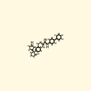 C[C@H]1CCC[N+]1(c1ccc2c(c1)CCN(C(=O)Nc1ccc(-c3ccccc3)cc1)C2)[C@H]1CCNC1